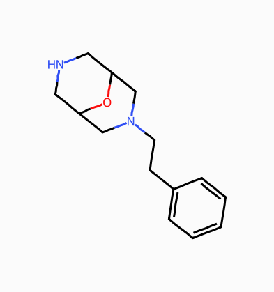 c1ccc(CCN2CC3CNCC(C2)O3)cc1